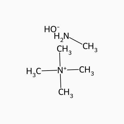 CN.C[N+](C)(C)C.[OH-]